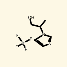 CC(CO)n1ccnc1.F[B-](F)(F)F